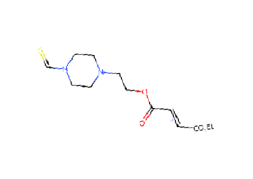 CCOC(=O)/C=C/C(=O)OCCN1CCN(C=S)CC1